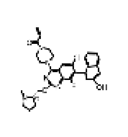 C=CC(=O)N1CCN(c2nc(OC[C@@H]3CCCN3C)nc3c(F)c(-c4cc(O)cc5ccccc45)c(Cl)cc23)CC1